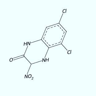 O=C1Nc2cc(Cl)cc(Cl)c2NC1[N+](=O)[O-]